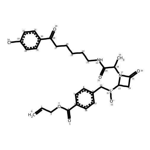 C=CCOC(=O)c1ccc(C[S+]([O-])C2CC(=O)N2C(C)C(=O)NCCCCCC(=O)c2ccc(Cl)cc2)cc1